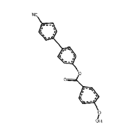 N#Cc1ccc(-c2ccc(OC(=O)c3ccc(OO)cc3)cc2)cc1